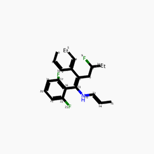 C\C=C/C(=C\CC)C(/CC(F)CC)=C(/N/C=C/C)c1c(F)cccc1F